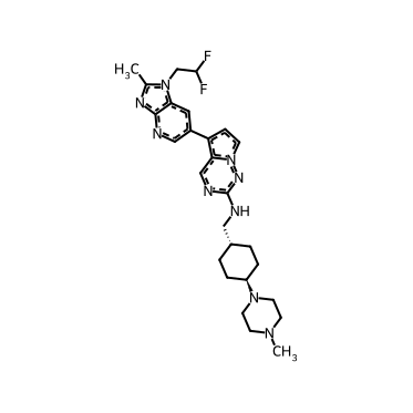 Cc1nc2ncc(-c3ccn4nc(NC[C@H]5CC[C@H](N6CCN(C)CC6)CC5)ncc34)cc2n1CC(F)F